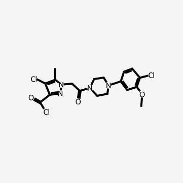 COc1cc(N2CCN(C(=O)Cn3nc(C(=O)Cl)c(Cl)c3C)CC2)ccc1Cl